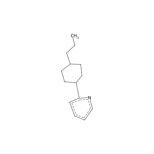 CCCC1CCC(c2ccccn2)CC1